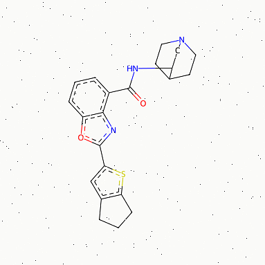 O=C(NC1CN2CCC1CC2)c1cccc2oc(-c3cc4c(s3)CCC4)nc12